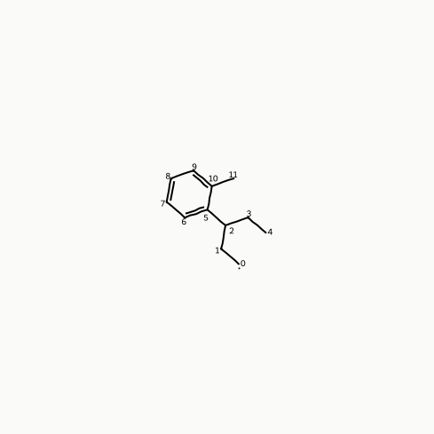 [CH2]CC(CC)c1ccccc1C